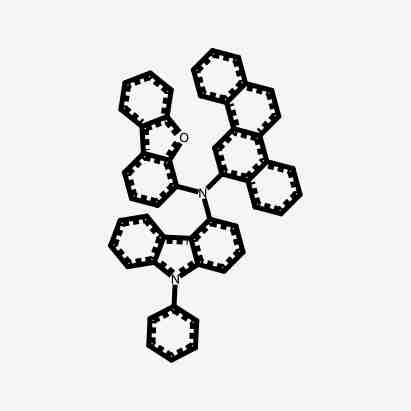 c1ccc(-n2c3ccccc3c3c(N(c4cc5c6ccccc6ccc5c5ccccc45)c4cccc5c4oc4ccccc45)cccc32)cc1